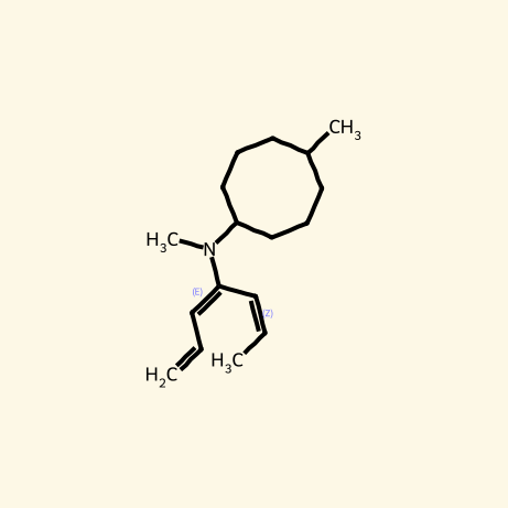 C=C/C=C(\C=C/C)N(C)C1CCCC(C)CCC1